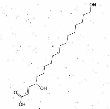 O=C(O)C=CC(O)CCCCCCCCCCCCCCO